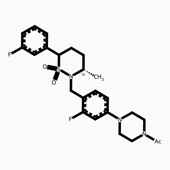 CC(=O)N1CCN(c2ccc(CN3[C@@H](C)CCC(c4cccc(F)c4)S3(=O)=O)c(F)c2)CC1